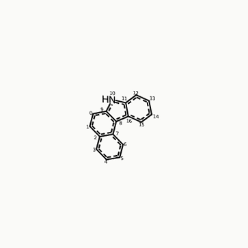 [c]1cc2ccccc2c2c1[nH]c1ccccc12